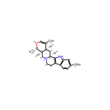 COc1ccc2c3c([nH]c2c1)[C@@H]1C[C@@H]2C(OC(C)=O)=CO[C@@H](C)[C@@H]2CN1CC3